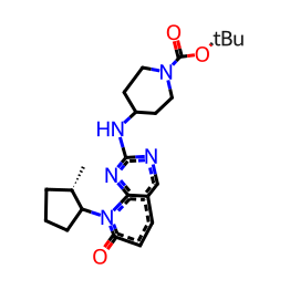 C[C@H]1CCCC1n1c(=O)ccc2cnc(NC3CCN(C(=O)OC(C)(C)C)CC3)nc21